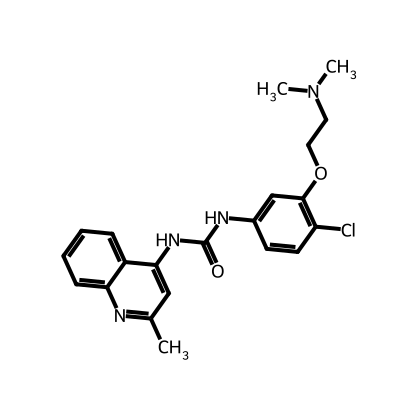 Cc1cc(NC(=O)Nc2ccc(Cl)c(OCCN(C)C)c2)c2ccccc2n1